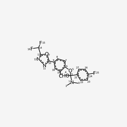 CN(C)C(C)(Oc1ccc(-c2nnc(C(F)F)o2)cc1C=O)c1ccc(F)cc1